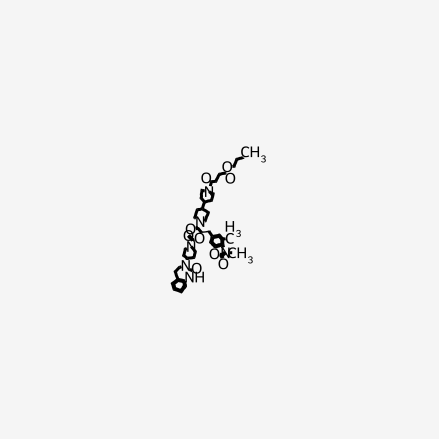 CCCCOC(=O)CCC(=O)N1CCC(C2CCN(C(=O)[C@@H](Cc3cc(C)c4c(c3)oc(=O)n4C)OC(=O)N3CCC(N4CCc5ccccc5NC4=O)CC3)CC2)CC1